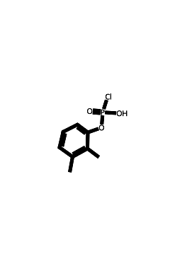 Cc1cccc(OP(=O)(O)Cl)c1C